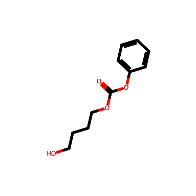 O=C(OCCCCO)Oc1ccccc1